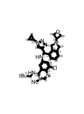 CC(C)(C)CN[C@@H]1c2cc(NC(c3cn(C4CC4)nn3)c3cccc4c3CN(C3COC3)C4)cc(Cl)c2N=CN1C#N